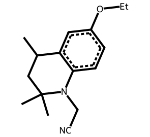 CCOc1ccc2c(c1)C(C)CC(C)(C)N2CC#N